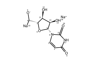 O=c1ccn([C@@H]2O[C@H]([CH]([O-])[Na])[C@@H](O)[C@H]2O)c(=O)[nH]1.[Na+]